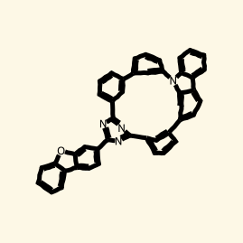 c1cc2cc(c1)-c1nc(nc(-c3ccc4c(c3)oc3ccccc34)n1)-c1cccc(c1)-c1ccc3c4ccccc4n(c3c1)-c1cccc-2c1